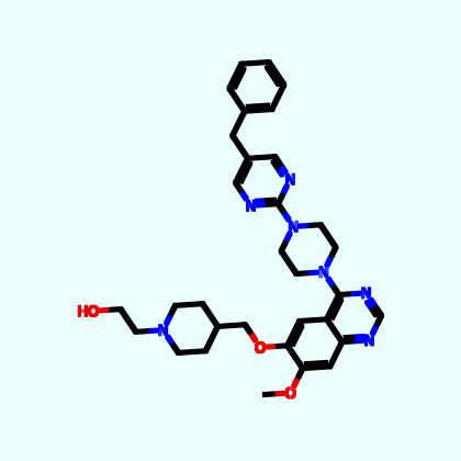 COc1cc2ncnc(N3CCN(c4ncc(Cc5ccccc5)cn4)CC3)c2cc1OCC1CCN(CCO)CC1